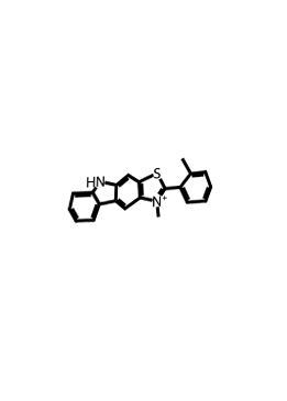 Cc1ccccc1-c1sc2cc3[nH]c4ccccc4c3cc2[n+]1C